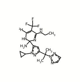 [2H]C1=C(C(F)(F)F)C(NCC)=NC(N)(c2cc(C(C)(C)n3nccn3)nn2C2CC2)N1